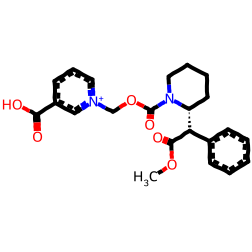 COC(=O)C(c1ccccc1)[C@H]1CCCCN1C(=O)OC[n+]1cccc(C(=O)O)c1